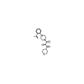 C=C(C)c1ccccc1N1CCN(C(=O)C(=O)NC2CCSCC2)CC1